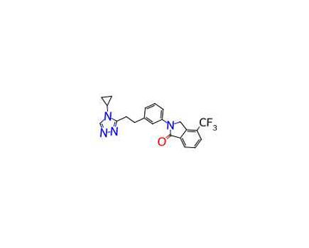 O=C1c2cccc(C(F)(F)F)c2CN1c1cccc(CCc2nncn2C2CC2)c1